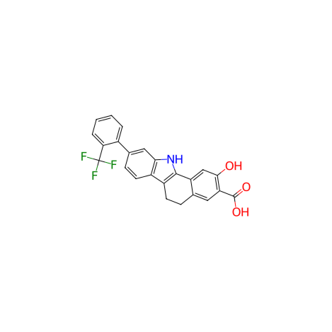 O=C(O)c1cc2c(cc1O)-c1[nH]c3cc(-c4ccccc4C(F)(F)F)ccc3c1CC2